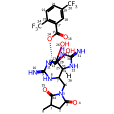 CC1CC(=O)N(CC2NC(=N)N3C[C@H](OC(=O)c4cc(C(F)(F)F)ccc4C(F)(F)F)C(O)(O)C34NC(=N)N[C@@H]24)C1=O